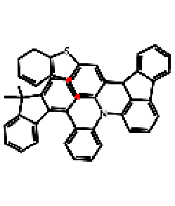 CC1(C)c2ccccc2-c2c(-c3ccccc3N3c4cc5c6c(sc5cc4C4(C)c5ccccc5-c5cccc3c54)CCC=C6)cccc21